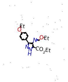 CCO/C=N/c1c(-c2ccc(OCC)cc2)n[nH]c1C(=O)OCC